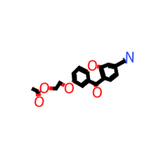 CC(=O)OCCOc1ccc2oc3cc(C#N)ccc3c(=O)c2c1